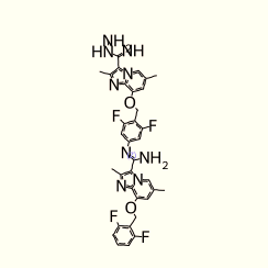 Cc1cc(OCc2c(F)cc(/N=C(\N)c3c(C)nc4c(OCc5c(F)cccc5F)cc(C)cn34)cc2F)c2nc(C)c(C(=N)NN)n2c1